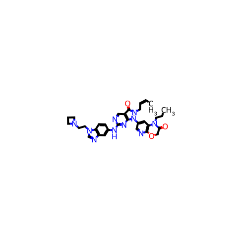 C/C=C\Cn1c(=O)c2cnc(Nc3ccc4c(c3)ncn4CCN3CCC3)nc2n1-c1cnc2c(c1)N(CCC)C(=O)CO2